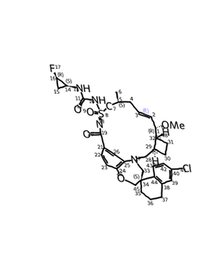 CO[C@H]1/C=C/C[C@H](C)CS(=O)(NC(=O)N[C@H]2C[C@H]2F)=NC(=O)c2ccc3c(c2)N(C[C@@H]2CC[C@H]21)C[C@@]1(CCCc2cc(Cl)ccc21)CO3